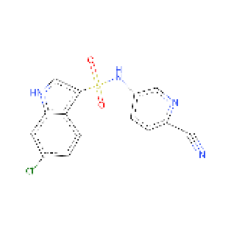 N#Cc1ccc(NS(=O)(=O)c2c[nH]c3cc(Cl)ccc23)cn1